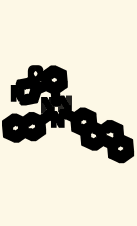 c1ccc2cc(-c3nc(-c4ccc5c(ccc6c7ccccc7ccc56)c4)nc(-c4cccc5oc6cnccc6c45)n3)ccc2c1